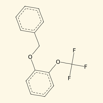 FC(F)(F)Oc1ccccc1OCc1ccccc1